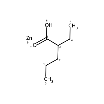 CCCC(CC)C(=O)O.[Zn]